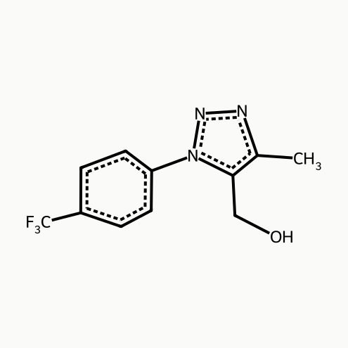 Cc1nnn(-c2ccc(C(F)(F)F)cc2)c1CO